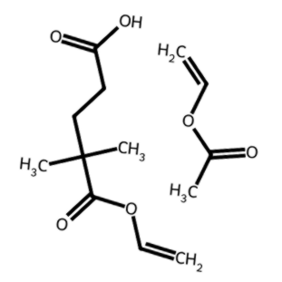 C=COC(=O)C(C)(C)CCC(=O)O.C=COC(C)=O